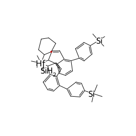 C[Si](C)(C)c1ccc(-c2cccc3c2C=C[CH]3[Hf]([CH3])([CH3])([CH3])(=[SiH2])([CH]2CCCCC2)[CH]2C=Cc3c(-c4ccc([Si](C)(C)C)cc4)cccc32)cc1